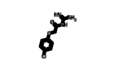 N=C(N)NC(=O)COc1ccc(Cl)cc1